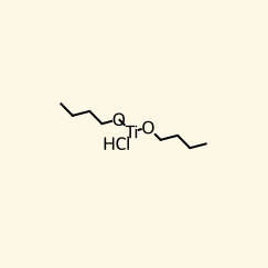 CCCC[O][Ti][O]CCCC.Cl